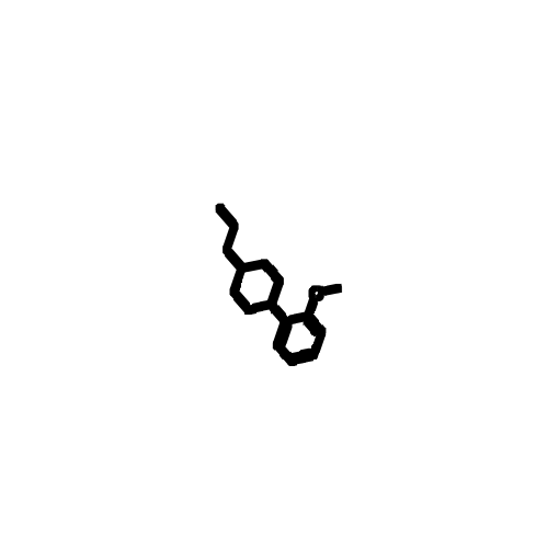 CCCC1CCC(c2ccccc2OC)CC1